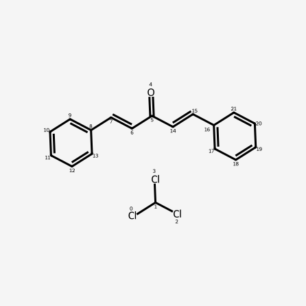 ClC(Cl)Cl.O=C(C=Cc1ccccc1)C=Cc1ccccc1